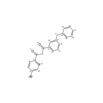 O=C(CC(=O)c1ccc(Br)cn1)c1cccc(Cc2ccccc2)c1